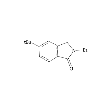 CCN1Cc2cc(C(C)(C)C)ccc2C1=O